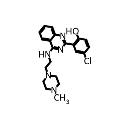 CN1CCN(CCNc2nc(-c3cc(Cl)ccc3O)nc3ccccc23)CC1